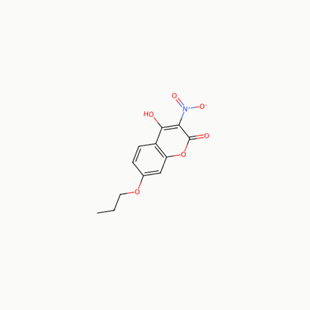 CCCOc1ccc2c(O)c([N+](=O)[O-])c(=O)oc2c1